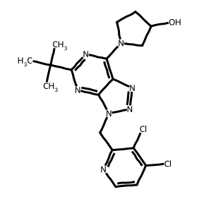 CC(C)(C)c1nc(N2CCC(O)C2)c2nnn(Cc3nccc(Cl)c3Cl)c2n1